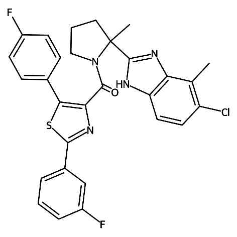 Cc1c(Cl)ccc2[nH]c(C3(C)CCCN3C(=O)c3nc(-c4cccc(F)c4)sc3-c3ccc(F)cc3)nc12